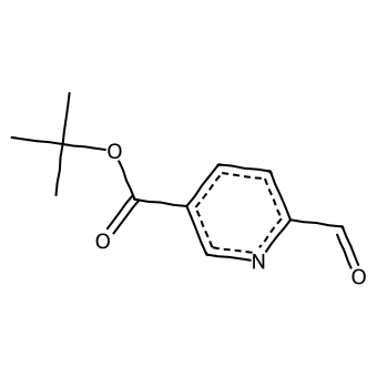 CC(C)(C)OC(=O)c1ccc(C=O)nc1